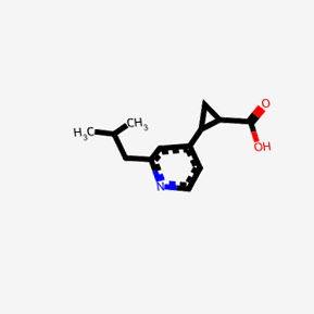 CC(C)Cc1cc(C2CC2C(=O)O)ccn1